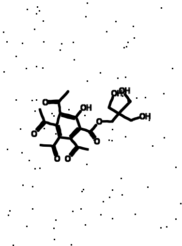 CC(=O)c1c(O)c(C(=O)OCC(CO)(CO)CO)c(C(C)=O)c(C(C)=O)c1C(C)=O